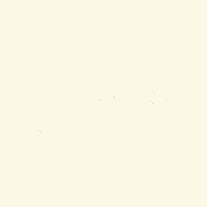 C[C@@H](S[C@H]1CO[C@H](C=CC=Cc2ccc(C#N)cc2F)OC1)[C@@](Cn1cncn1)(OC(=O)c1sccc1COP(=O)(O)O)c1ccc(F)cc1F